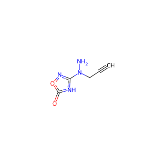 C#CCN(N)c1noc(=O)[nH]1